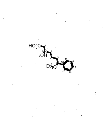 CCOC(CCC[PH](=O)CC(=O)O)c1ccccc1